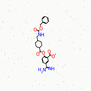 COC(=O)c1cc(C(=N)N)ccc1OC(=O)C1CCC(CNC(=O)OCc2ccccc2)CC1